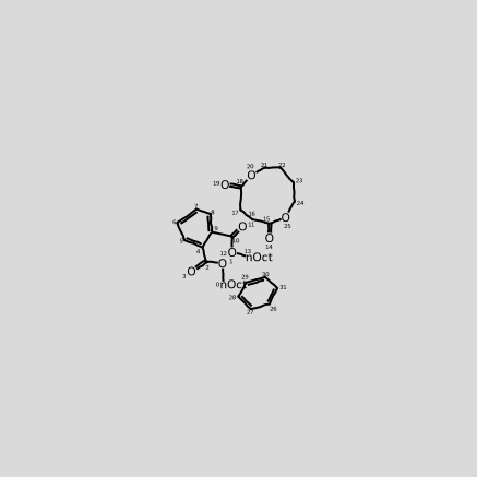 CCCCCCCCOC(=O)c1ccccc1C(=O)OCCCCCCCC.O=C1CCC(=O)OCCCCO1.c1ccccc1